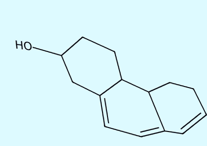 OC1CCC2C(=CC=C3C=CCCC32)C1